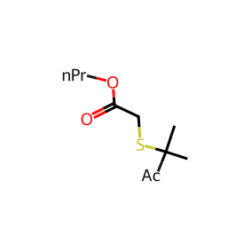 CCCOC(=O)CSC(C)(C)C(C)=O